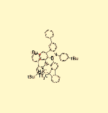 CC(C)(C)c1ccc(N2B3c4ccc5c(c4N(c4ccc(C(C)(C)C)cc4-c4ccccc4)c4cc(C(C)(C)C)cc(c43)-c3cc(-c4ccccc4)ccc32)C(C)(C)c2ccccc2-5)cc1